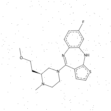 COCC[C@H]1CN(C2=Nc3ccc(F)cc3Nc3sccc32)CCN1C